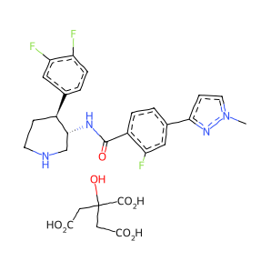 Cn1ccc(-c2ccc(C(=O)N[C@@H]3CNCC[C@H]3c3ccc(F)c(F)c3)c(F)c2)n1.O=C(O)CC(O)(CC(=O)O)C(=O)O